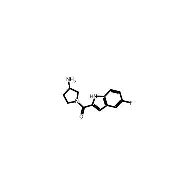 N[C@@H]1CCN(C(=O)c2cc3cc(F)ccc3[nH]2)C1